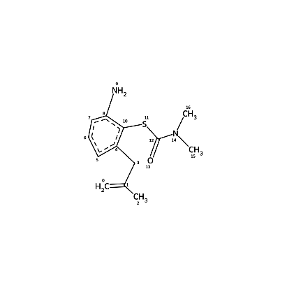 C=C(C)Cc1cccc(N)c1SC(=O)N(C)C